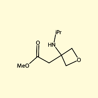 COC(=O)CC1(NC(C)C)COC1